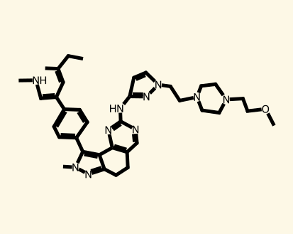 CC/C(C)=C/C(=C\NC)c1ccc(-c2c3c(nn2C)CCc2cnc(Nc4ccn(CCN5CCN(CCOC)CC5)n4)nc2-3)cc1